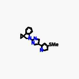 CSc1ccnc(-c2cnc(N3CC4(CC4)c4ccccc43)nc2)c1